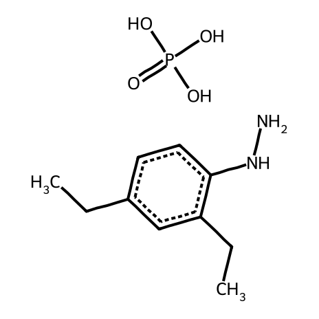 CCc1ccc(NN)c(CC)c1.O=P(O)(O)O